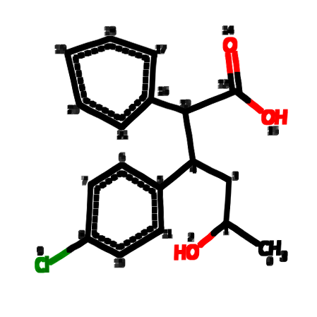 CC(O)CC(c1ccc(Cl)cc1)C(C(=O)O)c1ccccc1